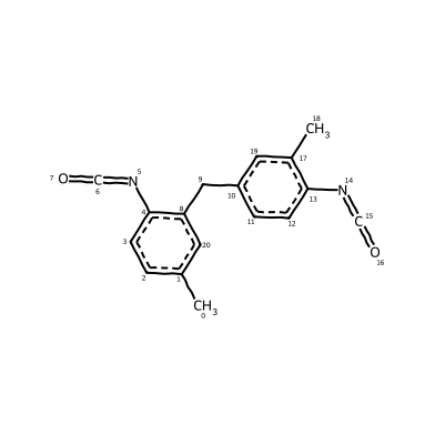 Cc1ccc(N=C=O)c(Cc2ccc(N=C=O)c(C)c2)c1